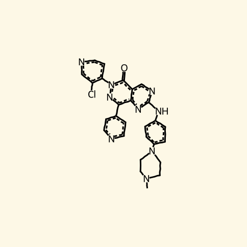 CN1CCN(c2ccc(Nc3ncc4c(=O)n(-c5ccncc5Cl)nc(-c5ccncc5)c4n3)cc2)CC1